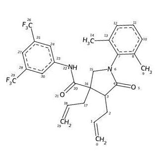 C=CCC1C(=O)N(c2c(C)cccc2C)CC1(CC=C)C(=O)Nc1cc(C(F)(F)F)cc(C(F)(F)F)c1